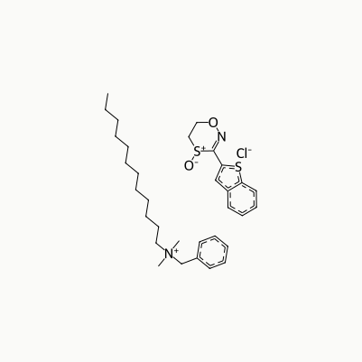 CCCCCCCCCCCC[N+](C)(C)Cc1ccccc1.[Cl-].[O-][S+]1CCON=C1c1cc2ccccc2s1